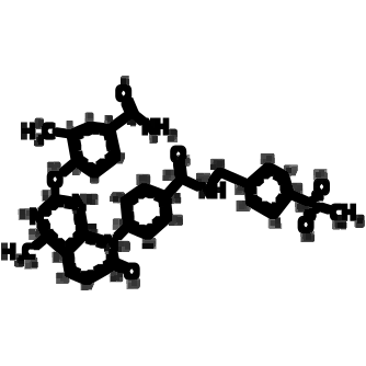 Cc1cc(C(N)=O)ccc1Oc1nc(C)c2ccc(=O)n(-c3ccc(C(=O)NCc4ccc(S(C)(=O)=O)cc4)cc3)c2n1